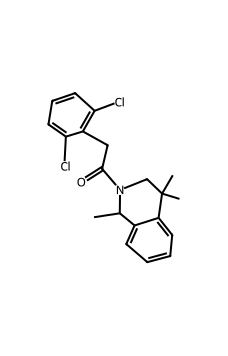 CC1c2ccccc2C(C)(C)CN1C(=O)Cc1c(Cl)cccc1Cl